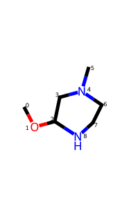 COC1[CH]N(C)CCN1